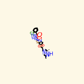 CC1CN(CCCS(=O)(=O)c2ccc3nc(NC(=O)NC(=O)c4ccccc4Cl)sc3c2)C[C@H](C)N1